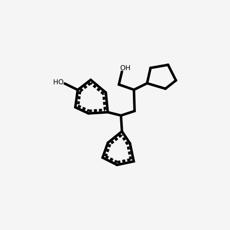 OCC(CC(c1ccccc1)c1ccc(O)cc1)C1CCCC1